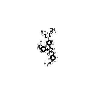 COCCN(CCOC)c1ccc(C2CN(Cc3ccc(OC)cc3)C(=O)N2c2ccc3nc[nH]c3c2)cc1